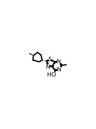 Cc1nc(O)c2nc([C@H]3CC[C@H](C)CC3)sc2n1